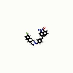 O=C1Nc2ccc(Cc3ccc(CN4CCC(Cc5ccc(F)cc5)CC4)cc3)c3cccc1c23